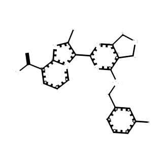 Cc1nc2c(C(N)=O)cccn2c1-c1nc2c(c(NCc3cccc(F)c3)n1)CNC2